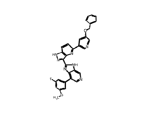 COc1cc(F)cc(-c2cncc3[nH]c(-c4n[nH]c5ccc(-c6cncc(OCc7ccccc7)c6)nc45)nc23)c1